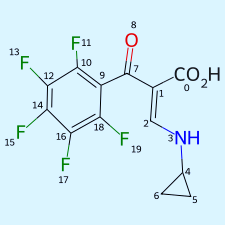 O=C(O)C(=CNC1CC1)C(=O)c1c(F)c(F)c(F)c(F)c1F